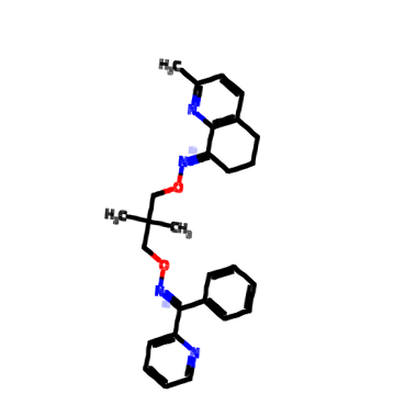 Cc1ccc2c(n1)/C(=N/OCC(C)(C)CO/N=C(\c1ccccc1)c1ccccn1)CCC2